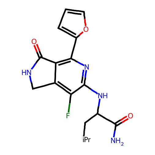 CC(C)CC(Nc1nc(-c2ccco2)c2c(c1F)CNC2=O)C(N)=O